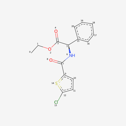 CCOC(=O)[C@H](NC(=O)c1ccc(Cl)s1)c1ccccc1